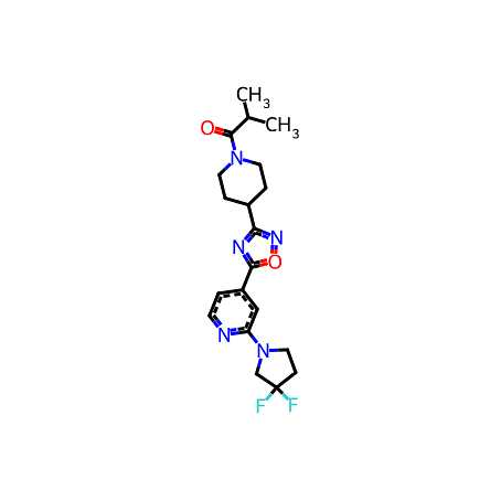 CC(C)C(=O)N1CCC(c2noc(-c3ccnc(N4CCC(F)(F)C4)c3)n2)CC1